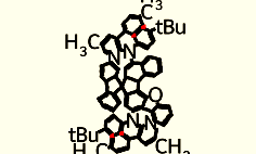 Cc1ccc(-c2cc(C)cnc2N(C2=CC3C(c4ccccc42)c2c(cc(N(c4ccc(C(C)(C)C)cc4)c4ncc(C)cc4-c4ccc(C)cc4)c4c2oc2ccccc24)C32c3ccccc3C3C=CC=CC32)c2ccc(C(C)(C)C)cc2)cc1